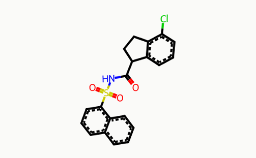 O=C(NS(=O)(=O)c1cccc2ccccc12)C1CCc2c(Cl)cccc21